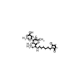 CC[C@H](NCCCCCCN1C(=O)C=CC1=O)C(=O)N(C)[C@H](C(CC(=O)O)OC)[C@@H](C)CC